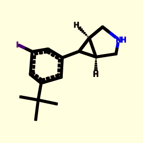 CC(C)(C)c1cc(I)cc(C2[C@H]3CNC[C@@H]23)c1